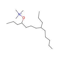 CCCCCC(CCC)CCCC(CCC)O[N+](C)(C)C